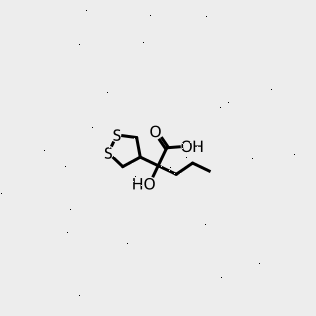 CCCC(O)(C(=O)O)C1CSSC1